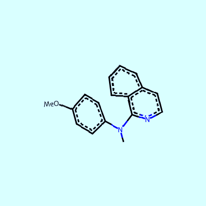 COc1ccc(N(C)c2nccc3ccccc23)cc1